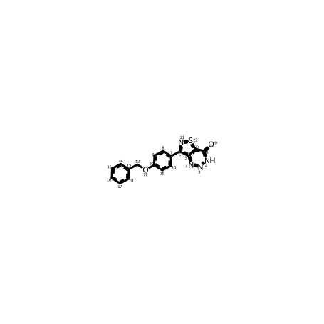 O=c1[nH]nnc2c(-c3ccc(OCc4ccccc4)cc3)nsc12